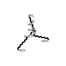 CCCCCCCC/C=C\CCCCCCCC(=O)OC[C@H](COP(=O)(O)OCCNC(=O)CCCN)OC(=O)CCCCCCC/C=C\CCCCCCCC